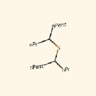 CCCCCC(CCC)SC(CCC)CCCCC